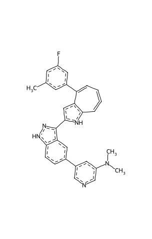 Cc1cc(F)cc(C2=CC=C=Cc3[nH]c(-c4n[nH]c5ccc(-c6cncc(N(C)C)c6)cc45)cc32)c1